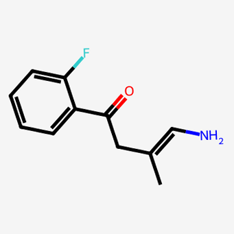 CC(=CN)CC(=O)c1ccccc1F